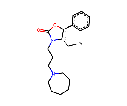 CC(C)C[C@H]1[C@H](c2ccccc2)OC(=O)N1CCCN1CCCCCC1